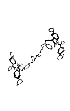 COc1ccc2c(c1)c(CC(=O)OCCOCCOCCOC(O)Cc1c(C)n(C(=O)c3ccc(Cl)cc3)c3ccc(OC)cc13)c(C)n2C(=O)c1ccc(Cl)cc1